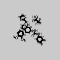 COc1ccc([C@@]23CC[C@@H](NC(=O)Nc4ccc(F)c(F)c4)C[C@@H]2N(Cc2nccs2)CC3)cc1OC.O=C(O)C(F)(F)F